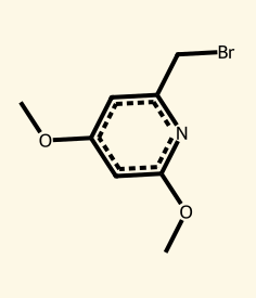 COc1cc(CBr)nc(OC)c1